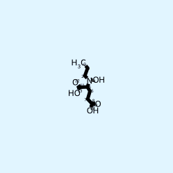 CCCN(O)C(CCC(=O)O)C(=O)O